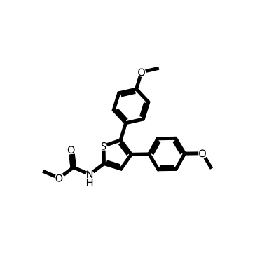 COC(=O)Nc1cc(-c2ccc(OC)cc2)c(-c2ccc(OC)cc2)s1